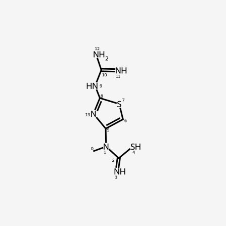 CN(C(=N)S)c1csc(NC(=N)N)n1